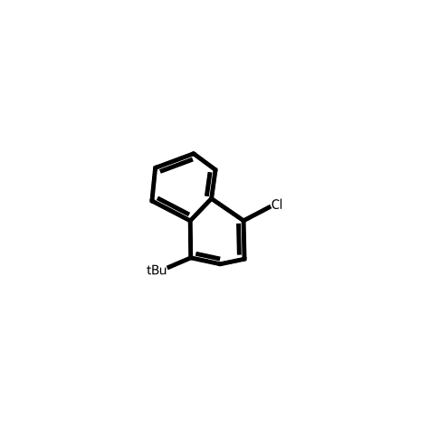 CC(C)(C)c1ccc(Cl)c2ccccc12